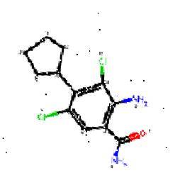 NC(=O)c1cc(Cl)c(C2CCCC2)c(Cl)c1N